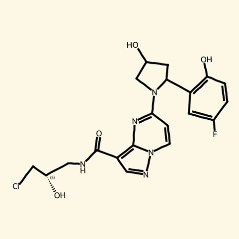 O=C(NC[C@H](O)CCl)c1cnn2ccc(N3CC(O)CC3c3cc(F)ccc3O)nc12